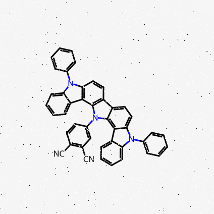 N#Cc1ccc(-n2c3c(ccc4c3c3ccccc3n4-c3ccccc3)c3ccc4c(c5ccccc5n4-c4ccccc4)c32)cc1C#N